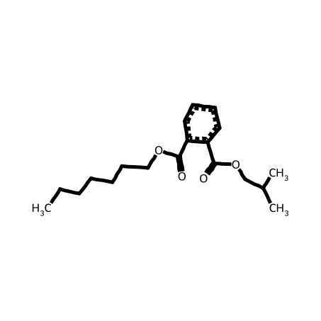 CCCCCCCOC(=O)c1ccccc1C(=O)OCC(C)C